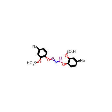 O=S(=O)(O)Oc1c[c]([Na])ccc1OP=NPOc1cc[c]([Na])cc1OS(=O)(=O)O